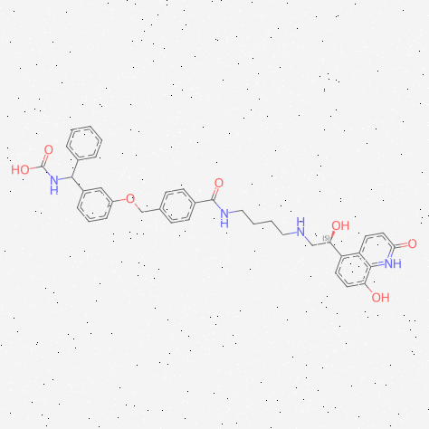 O=C(O)NC(c1ccccc1)c1cccc(OCc2ccc(C(=O)NCCCCNC[C@@H](O)c3ccc(O)c4[nH]c(=O)ccc34)cc2)c1